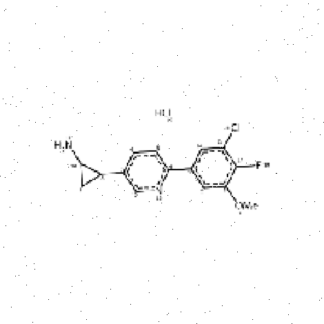 COc1cc(-c2ccc(C3CC3N)cn2)cc(Cl)c1F.Cl